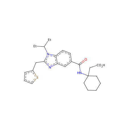 CCC(CC)n1c(Cc2cccs2)nc2cc(C(=O)NC3(CC(=O)O)CCCCC3)ccc21